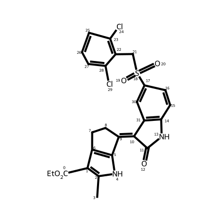 CCOC(=O)c1c(C)[nH]c2c1CC/C2=C1/C(=O)Nc2ccc(S(=O)(=O)Cc3c(Cl)cccc3Cl)cc21